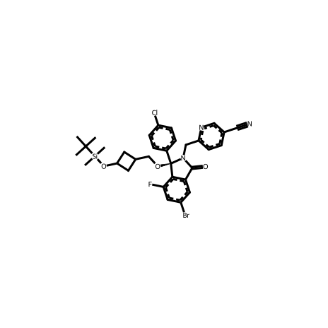 CC(C)(C)[Si](C)(C)OC1CC(CO[C@]2(c3ccc(Cl)cc3)c3c(F)cc(Br)cc3C(=O)N2Cc2ccc(C#N)cn2)C1